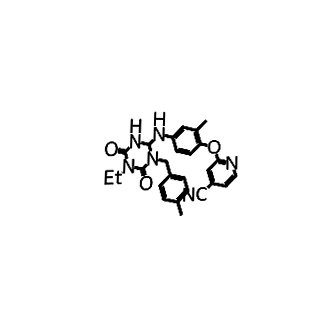 CCN1C(=O)NC(Nc2ccc(Oc3cc(C#N)ccn3)c(C)c2)N(Cc2ccc(C)cc2)C1=O